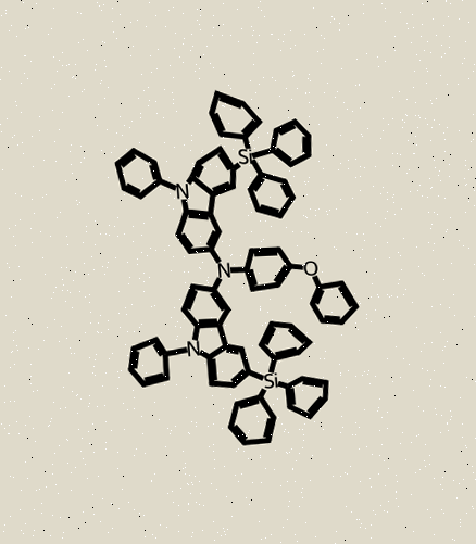 c1ccc(Oc2ccc(N(c3ccc4c(c3)c3cc([Si](c5ccccc5)(c5ccccc5)c5ccccc5)ccc3n4-c3ccccc3)c3ccc4c(c3)c3cc([Si](c5ccccc5)(c5ccccc5)c5ccccc5)ccc3n4-c3ccccc3)cc2)cc1